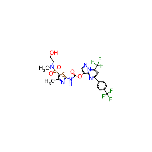 Cc1nc(NC(=O)Oc2cnn3c(C(F)(F)F)cc(-c4ccc(C(F)(F)F)cc4)nc23)sc1S(=O)(=O)N(C)CCO